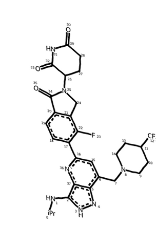 CC(C)Nc1[nH]nc2c(CN3CCC(C(F)(F)F)CC3)cc(-c3ccc4c(c3F)CN(C3CCC(=O)NC3=O)C4=O)nc12